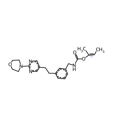 C/C=C(\C)OC(=O)NCc1cccc(CCc2cnc(N3CCOCC3)nc2)c1